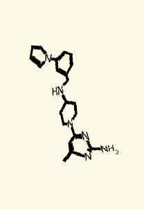 Cc1cc(N2CCC(NCc3cccc(-n4cccc4)c3)CC2)nc(N)n1